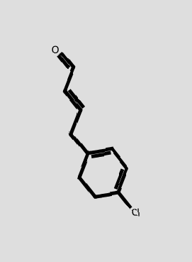 O=C/C=C/CC1=CC=C(Cl)CC1